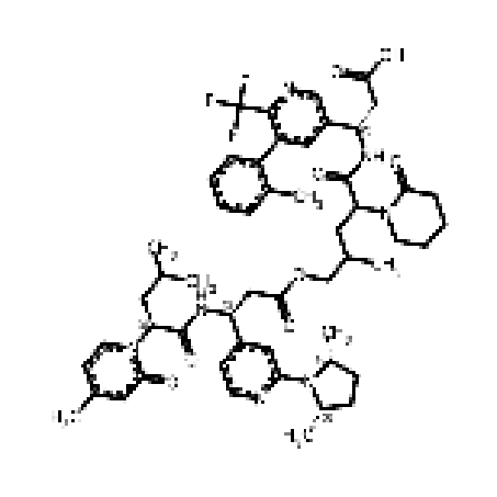 Cc1ccn([C@@H](CC(C)C)C(=O)N[C@@H](CC(=O)OCC(C)CC(C(=O)N[C@@H](CC(=O)O)c2cnc(C(F)(F)F)c(-c3ccccc3C)c2)N2CCCCC2=O)c2ccnc(N3[C@H](C)CC[C@@H]3C)c2)c(=O)c1